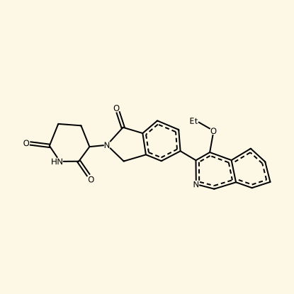 CCOc1c(-c2ccc3c(c2)CN(C2CCC(=O)NC2=O)C3=O)ncc2ccccc12